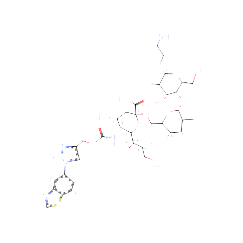 NCCO[C@@H]1OC(CO)[C@@H](O[C@@H]2OC(CO[C@]3(C(=O)O)C[C@@H](O)[C@@H](NC(=O)OCc4cn(-c5ccc6scnc6c5)nn4)C([C@H](O)[C@H](O)CO)O3)[C@H](O)[C@H](O)C2O)[C@@H](O)C1O